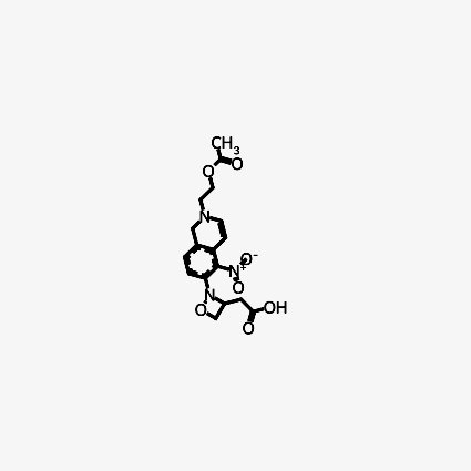 CC(=O)OCCN1C=Cc2c(ccc(N3OCC3CC(=O)O)c2[N+](=O)[O-])C1